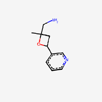 CC1(CN)CC(c2cccnc2)O1